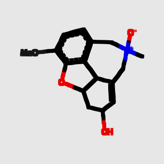 COc1ccc2c3c1OC1CC(O)C=C(C[N+](C)([O-])C2)C31